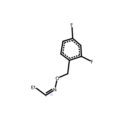 CC/[C]=N\OCc1ccc(F)cc1F